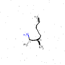 C=CCC[C@@H](C)[C@H](C)N